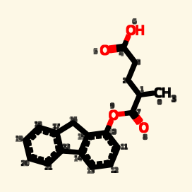 CC(CCC(=O)O)C(=O)Oc1cccc2c1Cc1ccccc1-2